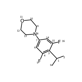 CC(C)c1c(F)cc(N2CCOCC2)cc1F